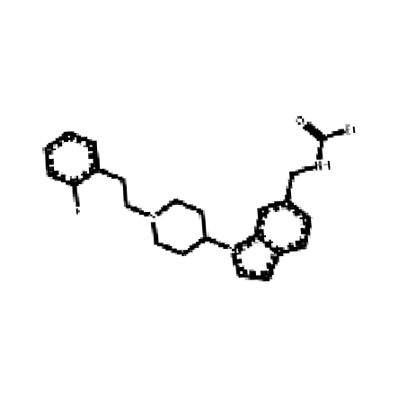 CCC(=O)NCc1ccc2ccn(C3CCN(CCc4ccccc4F)CC3)c2c1